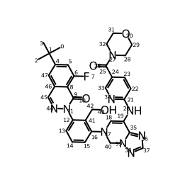 CC(C)(C)c1cc(F)c2c(=O)n(-c3cccc(N4C=C(Nc5ccc(C(=O)N6CCOCC6)cn5)c5ncnn5C4)c3CO)ncc2c1